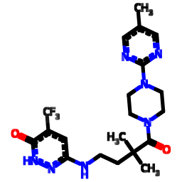 Cc1cnc(N2CCN(C(=O)C(C)(C)CCNc3cc(C(F)(F)F)c(=O)[nH]n3)CC2)nc1